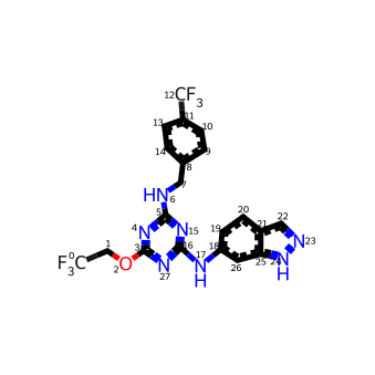 FC(F)(F)COc1nc(NCc2ccc(C(F)(F)F)cc2)nc(Nc2ccc3cn[nH]c3c2)n1